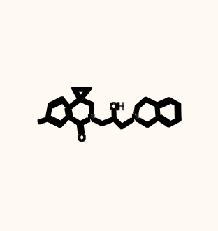 Cc1ccc2c(c1)C(=O)N(CC(O)CN1CCc3ccccc3C1)CC21CC1